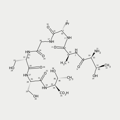 CC(C)[C@H](NC(=O)[C@H](C)NC(=O)[C@@H](N)[C@@H](C)O)C(=O)NCC(=O)N[C@@H](CO)C(=O)N[C@@H](CO)C(=O)N[C@H](C(=O)O)[C@@H](C)O